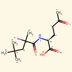 CC(=O)CC[C@H](NC(=O)C(C)(I)CC(C)(C)C)C(=O)O